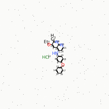 CCOc1cc2c(Nc3ccc(Oc4ccccc4)cc3)ccnc2nc1C.Cl